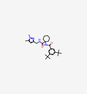 Cc1cc(CNC(=O)C2(NC(=O)c3cc(C(C)(C)C)cc(C(C)(C)C)c3)CCCCC2)nn1C